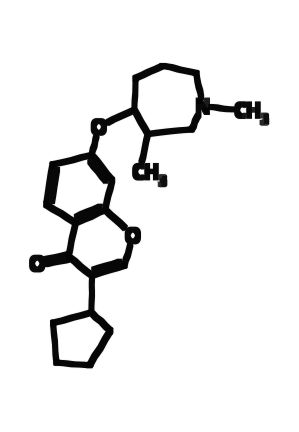 CC1CN(C)CCCC1Oc1ccc2c(=O)c(C3CCCC3)coc2c1